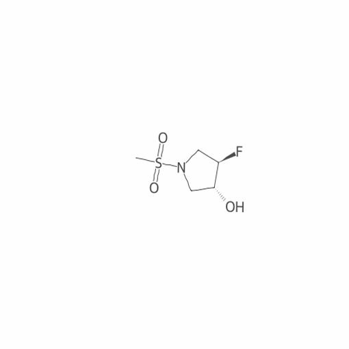 CS(=O)(=O)N1C[C@@H](O)[C@H](F)C1